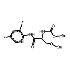 CC(C)(C)OCC(NC(=O)OC(C)(C)C)C(=O)Nc1ncc(F)cc1F